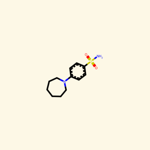 NS(=O)(=O)c1ccc(N2CCCCCC2)cc1